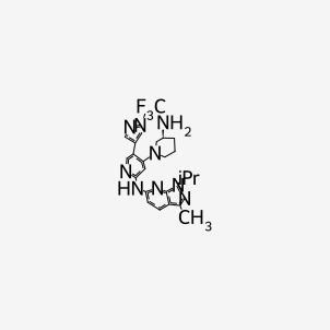 Cc1nn(C(C)C)c2nc(Nc3cc(N4CCC[C@H](N)C4)c(-c4cnn(CC(F)(F)F)c4)cn3)ccc12